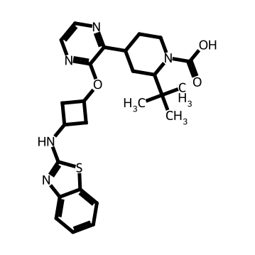 CC(C)(C)C1CC(c2nccnc2OC2CC(Nc3nc4ccccc4s3)C2)CCN1C(=O)O